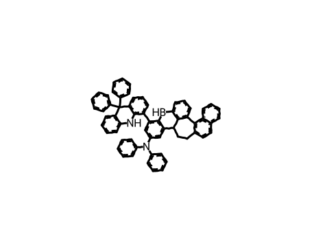 B1c2cccc3c2C(CCc2ccc4ccccc4c2-3)c2cc(N(c3ccccc3)c3ccccc3)cc(-c3cccc4c3Nc3ccccc3C4(c3ccccc3)c3ccccc3)c21